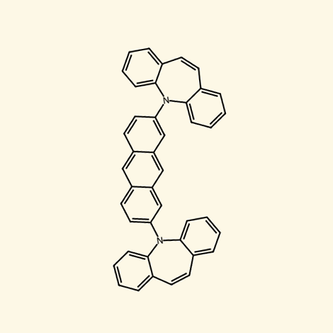 C1=Cc2ccccc2N(c2ccc3cc4ccc(N5c6ccccc6C=Cc6ccccc65)cc4cc3c2)c2ccccc21